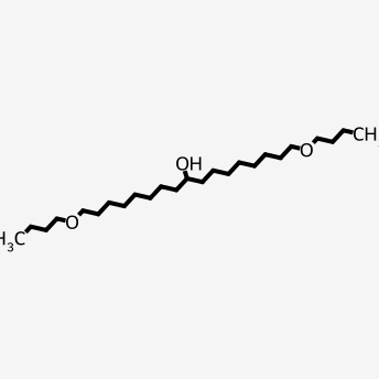 CCCCOCCCCCCCCC(O)CCCCCCCCOCCCC